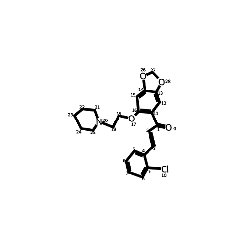 O=C(C=Cc1ccccc1Cl)c1cc2c(cc1OCCN1CCCCC1)OCO2